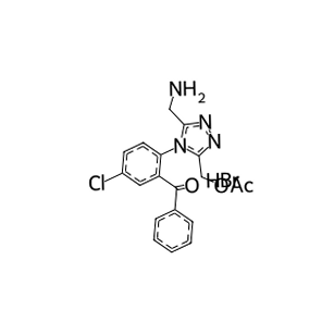 Br.CC(=O)OCc1nnc(CN)n1-c1ccc(Cl)cc1C(=O)c1ccccc1